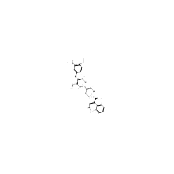 O=C(c1ccnc2ccccc12)N1CCC(N2CC[C@H](Cc3ccc(Cl)c(Cl)c3)[C@H](CF)C2)CC1